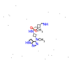 CN(c1ncnc2[nH]ccc12)[C@H]1C[C@@H](NS(=O)(=O)C[C@]2(C)C[C@@H](C=N)C2)C1